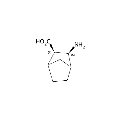 N[C@H]1C2CCC(C2)[C@H]1C(=O)O